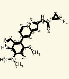 CSc1c(F)c(N(C)C)c2[nH]ncc2c1-c1ccn2nc(NC(=O)[C@@H]3C[C@@H]3F)cc2c1